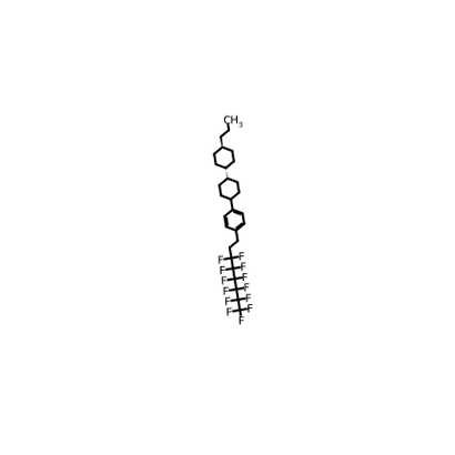 CCC[C@H]1CC[C@H](C2CCC(c3ccc(CCC(F)(F)C(F)(F)C(F)(F)C(F)(F)C(F)(F)C(F)(F)F)cc3)CC2)CC1